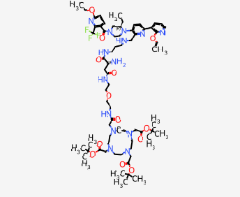 CCOc1ccc(C(=O)N2CCN(c3ccc(-c4cccnc4OCC)nc3CNCCCNC(=O)[C@H](N)CC(=O)NCCOCCNC(=O)CN3CCN(CC(=O)OC(C)(C)C)CCN(CC(=O)OC(C)(C)C)CCN(CC(=O)OC(C)(C)C)CC3)[C@H](CC)C2)c(C(F)(F)F)n1